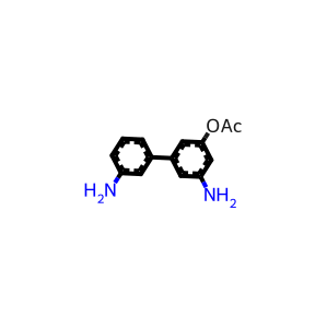 CC(=O)Oc1cc(N)cc(-c2cccc(N)c2)c1